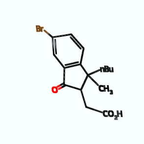 CCCCC1(C)c2ccc(Br)cc2C(=O)C1CC(=O)O